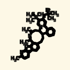 C=C1CC2C(CCc3ccc4c(oc5nc(C)ccc54)c3/C(C)=N\1)c1ccccc1-c1cc(CC(C)(C)CC)c([Si](C)(C)C)c[n+]12